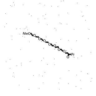 COCCOCCOCCOCCOCCOCCOCCOCCC(=O)C(C)C